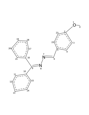 COc1ccc(C=NN=C(c2ccccc2)c2ccccc2)cc1